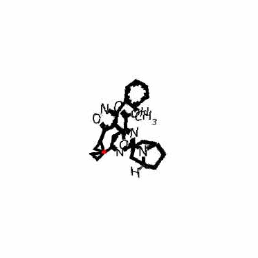 Cc1ccccc1-c1noc(C2CC2)c1COC1CC2CC[C@@H](C1)N2c1nc(C(=O)O)cc(C2CC2)n1